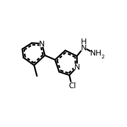 Cc1cccnc1-c1cc(Cl)nc(NN)c1